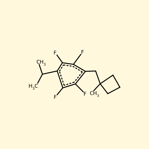 CC(C)c1c(F)c(F)c(CC2(C)CCC2)c(F)c1F